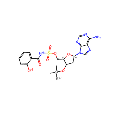 CC(C)(C)[Si](C)(C)OC1C[C@H](n2cnc3c(N)ncnc32)O[C@@H]1COS(=O)(=O)NC(=O)c1ccccc1O